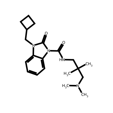 CN(C)CC(C)(C)CNC(=O)n1c(=O)n(CC2CCC2)c2ccccc21